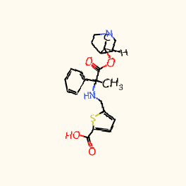 CC(NCc1ccc(C(=O)O)s1)(C(=O)O[C@H]1CN2CCC1CC2)c1ccccc1